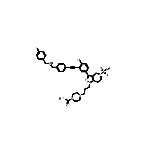 CC(C)COC(=O)N1CCN(CCCn2nc(-c3ccc(Cl)c(C#Cc4ccc(CNCc5ccc(Cl)cc5)cc4)c3)c3c2CCN(S(C)(=O)=O)C3)CC1